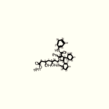 CCCOC(=O)CC(O)CC(O)CCn1c(-c2ccccc2F)c(-c2ccccc2)c(C(=O)Nc2ccccc2)c1C(C)C